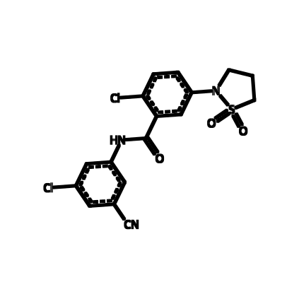 N#Cc1cc(Cl)cc(NC(=O)c2cc(N3CCCS3(=O)=O)ccc2Cl)c1